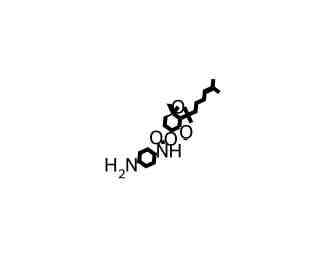 COC1C(OC(=O)N[C@H]2CC[C@H](N)CC2)CC[C@]2(CO2)C1C(C)(C)CCCC=C(C)C